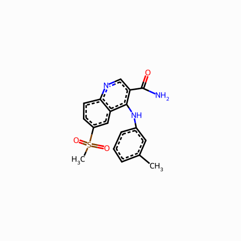 Cc1cccc(Nc2c(C(N)=O)cnc3ccc(S(C)(=O)=O)cc23)c1